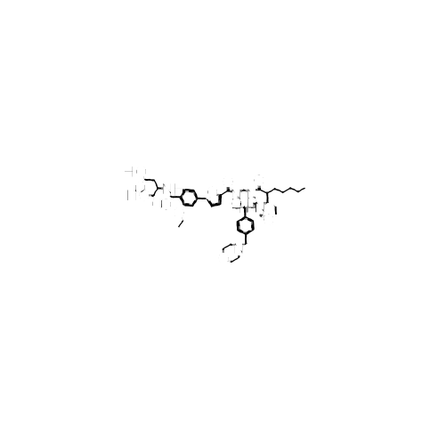 CCCCCC(C(=O)NCNC(=O)c1ccc(-c2ccc(C(=O)NC(CC(=O)O)C(=O)O)c(OCC)c2)o1)[C@@H](CC)N(C=O)OC(=O)c1ccc(CN2CCOCC2)cc1